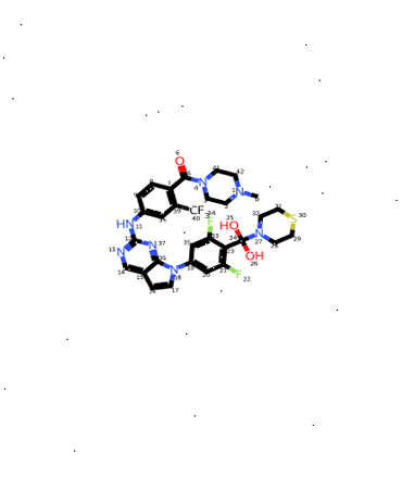 CN1CCN(C(=O)c2ccc(Nc3ncc4ccn(-c5cc(F)c(C(O)(O)N6CCSCC6)c(F)c5)c4n3)cc2C(F)(F)F)CC1